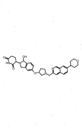 O=C1CCC(N2Cc3cc(O[C@H]4CCN(Cc5cc6ccc(C7CCOCC7)cc6cn5)C4)ccc3C2O)C(=O)N1